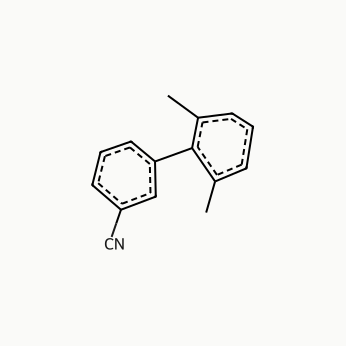 Cc1cccc(C)c1-c1cccc(C#N)c1